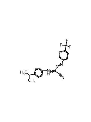 CC(C)c1ccc(NN=C(C#N)N=Nc2ccc(C(F)(F)F)cc2)cc1